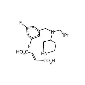 CC(C)CN(Cc1cc(F)cc(F)c1)C1CCNCC1.O=C(O)C=CC(=O)O